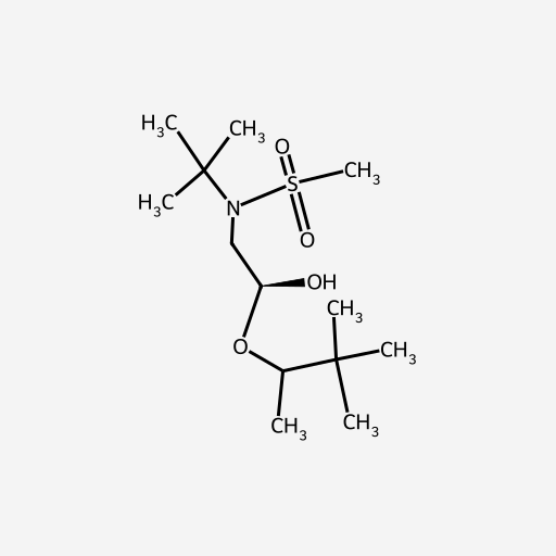 CC(O[C@H](O)CN(C(C)(C)C)S(C)(=O)=O)C(C)(C)C